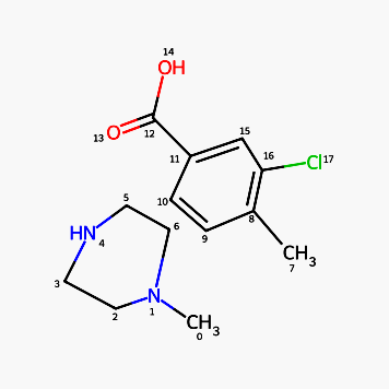 CN1CCNCC1.Cc1ccc(C(=O)O)cc1Cl